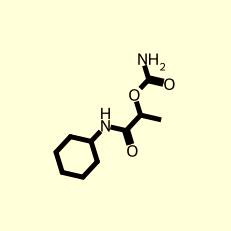 CC(OC(N)=O)C(=O)NC1CCCCC1